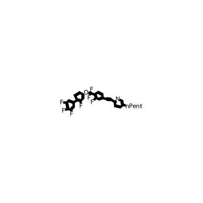 CCCCCc1ccc(C#Cc2ccc(C(F)(F)Oc3ccc(-c4cc(F)c(F)c(F)c4)c(F)c3)c(F)c2)nc1